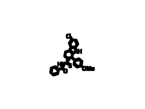 COc1ccc(C2c3[nH]c4ccc(Cl)cc4c3CCN2C(=S)NC(=O)c2ccccc2)cc1